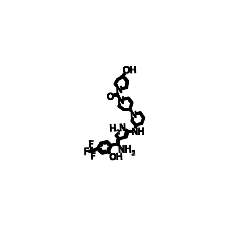 CC(/C=C(\N)NC1CCCN(C2CCN(C(=O)N3CCC(O)CC3)CC2)C1)=C(/N)c1ccc(C(F)(F)F)cc1O